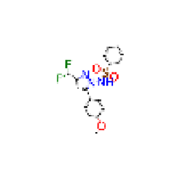 COc1ccc(-c2cc(C(F)F)nn2NS(=O)(=O)c2ccccc2)cc1